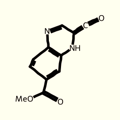 COC(=O)c1ccc2c(c1)NC(=C=O)C=N2